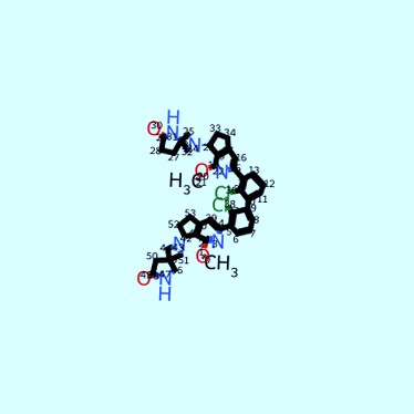 COc1nc(-c2cccc(-c3cccc(-c4cc5c(c(OC)n4)[C@H](N4CC6(CCC(=O)N6)C4)CC5)c3Cl)c2Cl)cc2c1C(N1CC3(CNC(=O)C3)C1)CC2